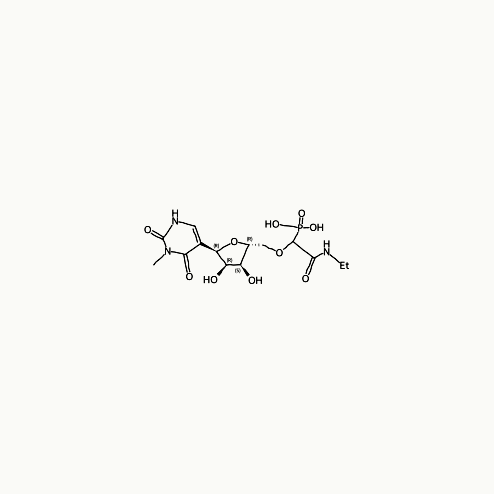 CCNC(=O)C(OC[C@H]1O[C@H](c2c[nH]c(=O)n(C)c2=O)[C@H](O)[C@@H]1O)P(=O)(O)O